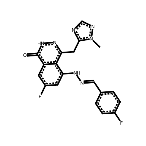 Cn1ncnc1Cc1n[nH]c(=O)c2cc(F)cc(N/N=C/c3ccc(F)cc3)c12